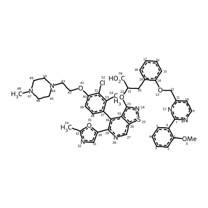 COc1ccccc1-c1nccc(COc2ccccc2CC(Oc2nsc3cnc(-c4cnc(C)o4)c(-c4ccc(OCCN5CCN(C)CC5)c(Cl)c4C)c23)C(=O)O)n1